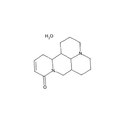 O.O=C1C=CCC2C3CCCN4CCCC(CN12)C34